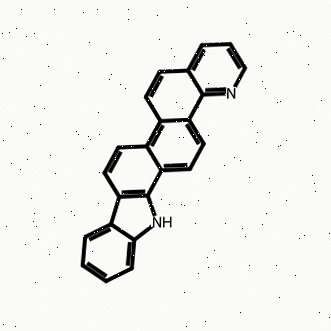 c1cnc2c(c1)ccc1c3ccc4c5ccccc5[nH]c4c3ccc12